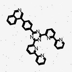 c1ccc(-c2cccc(-c3nc(-c4ccc(-c5cncc6ccccc56)cc4)nc(-c4cccc(-c5ccccn5)n4)n3)n2)nc1